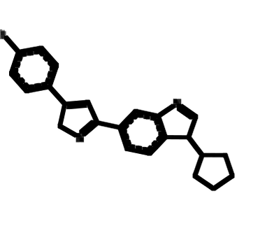 CCc1ccc(C2=CC(c3ccc4c(c3)N=CC4C3CCCC3)=NC2)cc1